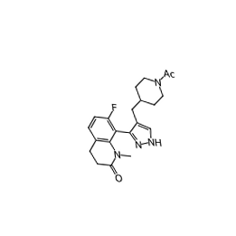 CC(=O)N1CCC(Cc2c[nH]nc2-c2c(F)ccc3c2N(C)C(=O)CC3)CC1